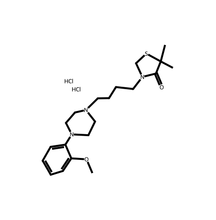 COc1ccccc1N1CCN(CCCCN2CSC(C)(C)C2=O)CC1.Cl.Cl